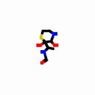 CC(N[C]=O)C1(O)SCCNC1O